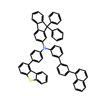 c1ccc(C2(c3ccccc3)c3ccccc3-c3ccc(N(c4ccc(-c5cccc6sc7ccccc7c56)cc4)c4cccc(-c5cccc(-c6cccc7ccccc67)c5)c4)cc32)cc1